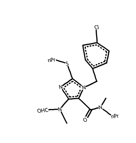 CCCSc1nc(N(C)C=O)c(C(=O)N(C)CCC)n1Cc1ccc(Cl)cc1